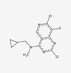 CN(CC1CC1)c1nc(Cl)nc2c(F)c(Cl)ncc12